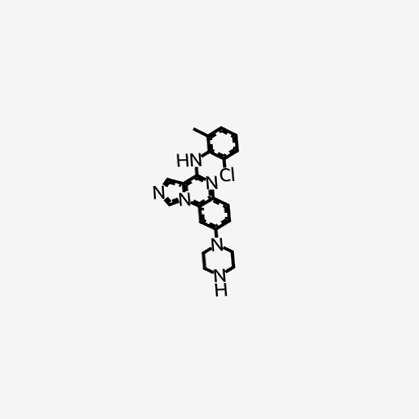 Cc1cccc(Cl)c1Nc1nc2ccc(N3CCNCC3)cc2n2cncc12